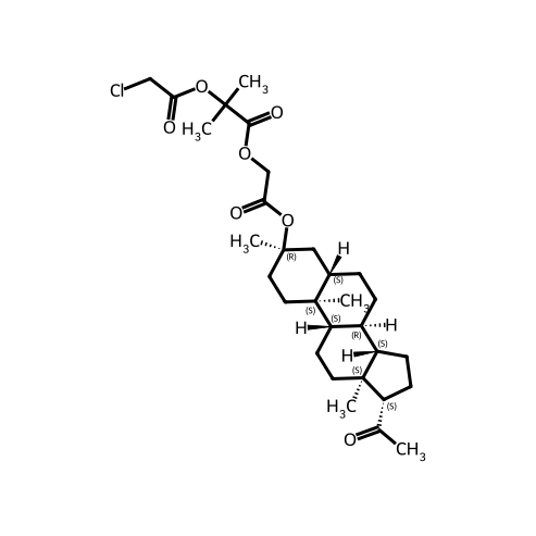 CC(=O)[C@H]1CC[C@H]2[C@@H]3CC[C@H]4C[C@](C)(OC(=O)COC(=O)C(C)(C)OC(=O)CCl)CC[C@]4(C)[C@H]3CC[C@]12C